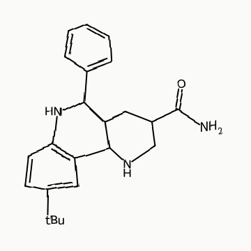 CC(C)(C)c1ccc2c(c1)C1NCC(C(N)=O)CC1C(c1ccccc1)N2